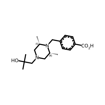 C[C@@H]1CN(CC(C)(C)O)C[C@H](C)N1Cc1ccc(C(=O)O)cc1